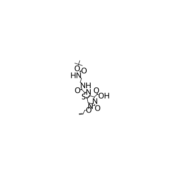 C=CCON1C(=O)N2CC1c1sc(C(=O)NCCNC(=O)OC(C)(C)C)nc1C2C(=O)O